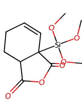 CO[Si](OC)(OC)C12C=CCCC1C(=O)OC2=O